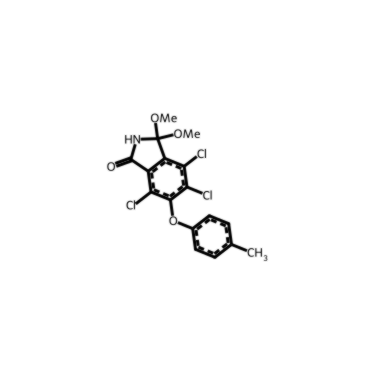 COC1(OC)NC(=O)c2c(Cl)c(Oc3ccc(C)cc3)c(Cl)c(Cl)c21